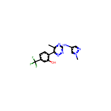 Cc1nc(Nc2cnn(C)c2)nnc1-c1ccc(C(F)(F)F)cc1O